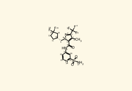 Cc1c(C(F)(F)F)nn(C[C@@H]2CCC(F)(F)C2)c1C(=O)Nc1ccnc(S(N)(=O)=O)c1